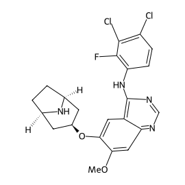 COc1cc2ncnc(Nc3ccc(Cl)c(Cl)c3F)c2cc1O[C@H]1C[C@H]2CC[C@@H](C1)N2